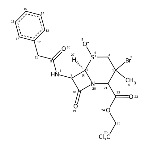 CC1(Br)C[S+]([O-])[C@@H]2C(NC(=O)Cc3ccccc3)C(=O)N2C1C(=O)OCC(Cl)(Cl)Cl